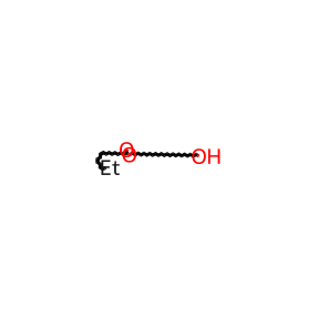 CC/C=C\C/C=C\C/C=C\CCCCCCCC(=O)OCCCCCCCCCCCCCCCCCCCCCCCO